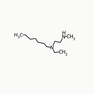 CCCCCCCN(CC)CCNC